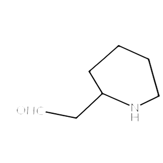 O=CCC1CCCCN1